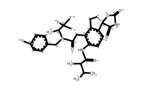 CC(C)C(N)C(=O)Nc1ccc2c(c1CC(=O)N(Cc1ccc(F)cc1)C(C)C(F)(F)F)CC[C@@]21OC(=O)NC1=O